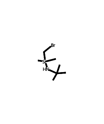 CC(C)(C)N[Si](C)(C)CBr